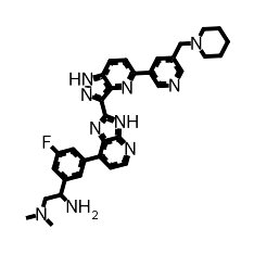 CN(C)CC(N)c1cc(F)cc(-c2ccnc3[nH]c(-c4n[nH]c5ccc(-c6cncc(CN7CCCCC7)c6)nc45)nc23)c1